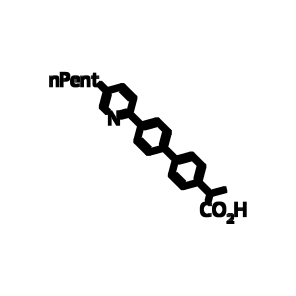 CCCCCc1ccc(-c2ccc(-c3ccc(C(C)C(=O)O)cc3)cc2)nc1